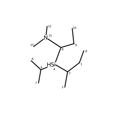 CCC(C)[SiH](C(C)C)C(CC)N(C)C